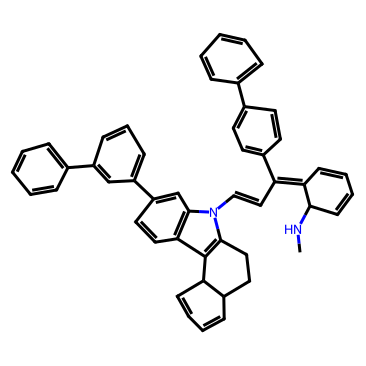 CNC1C=CC=C/C1=C(/C=C/n1c2c(c3ccc(-c4cccc(-c5ccccc5)c4)cc31)C1C=CC=CC1CC2)c1ccc(-c2ccccc2)cc1